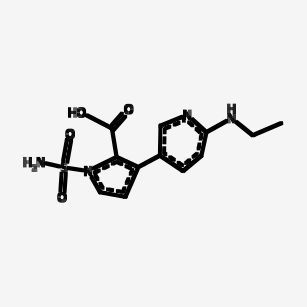 CCNc1ccc(-c2ccn(S(N)(=O)=O)c2C(=O)O)cn1